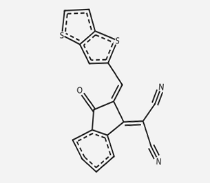 N#CC(C#N)=C1/C(=C/c2cc3sccc3s2)C(=O)c2ccccc21